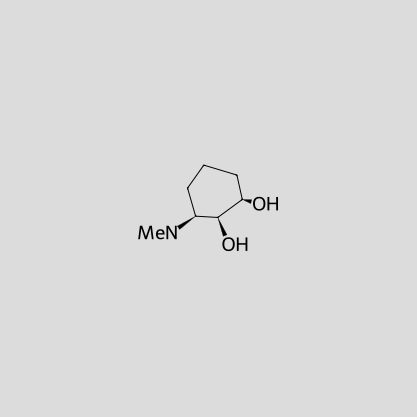 CN[C@H]1CCC[C@@H](O)[C@H]1O